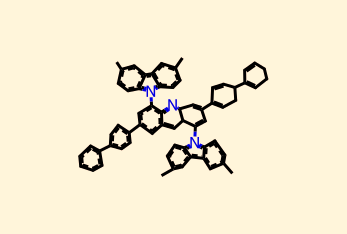 Cc1ccc2c(c1)c1cc(C)ccc1n2C1=CC(C2=CCC(C3=CCCC=C3)C=C2)=CC2N=c3c(-n4c5ccc(C)cc5c5cc(C)ccc54)cc(-c4ccc(-c5ccccc5)cc4)cc3=CC12